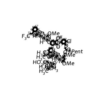 CCCCCOC(=O)COc1cc(N2C(=O)C3=C(CCCC3)C2=O)c(F)cc1Cl.COc1cc(OC)nc(NC(=O)NS(=O)(=O)c2ncccc2C(=O)N(C)C)n1.COc1nc(C)nc(NC(=O)NS(=O)(=O)c2ccccc2CCC(F)(F)F)n1.C[S+](C)C.O=C(O)CNCP(=O)([O-])O